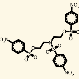 O=[N+]([O-])c1ccc(S(=O)(=O)OCCN(CCOS(=O)(=O)c2ccc([N+](=O)[O-])cc2)S(=O)(=O)c2ccc([N+](=O)[O-])cc2)cc1